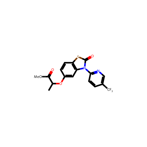 COC(=O)C(C)Oc1ccc2sc(=O)n(-c3ccc(C(F)(F)F)cn3)c2c1